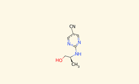 C[C@@H](CO)Nc1ncc(C#N)cn1